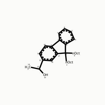 CCCCCCCCC1(CCCCCCCC)c2ccccc2-c2ccc(C(C)O)cc21